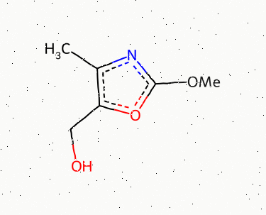 COc1nc(C)c(CO)o1